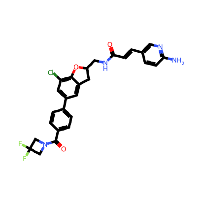 Nc1ccc(C=CC(=O)NCC2Cc3cc(-c4ccc(C(=O)N5CC(F)(F)C5)cc4)cc(Cl)c3O2)cn1